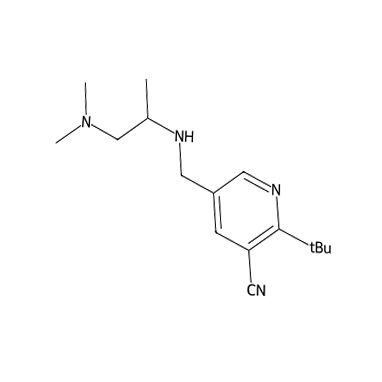 CC(CN(C)C)NCc1cnc(C(C)(C)C)c(C#N)c1